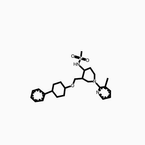 Cc1cccnc1N1CCC(NS(C)(=O)=O)C(COC2CCC(c3ccccc3)CC2)C1